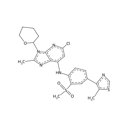 Cc1scnc1-c1ccc(Nc2cc(Cl)nc3c2nc(C)n3C2CCCCO2)c(S(C)(=O)=O)c1